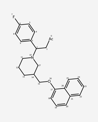 CC(=O)CC(c1ccc(F)cc1)N1CCCC(COc2cccc3ccccc23)C1